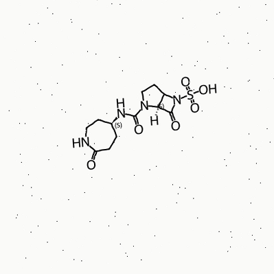 O=C1CC[C@H](NC(=O)N2CCC3[C@H]2C(=O)N3S(=O)(=O)O)CCN1